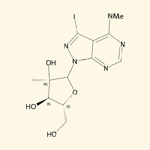 CNc1ncnc2c1c(I)nn2C1O[C@H](CO)[C@@H](O)[C@@]1(C)O